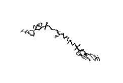 CC(C)(CCCSCCCSCCCC(C)(C)c1cc(O)no1)c1cc(O)no1